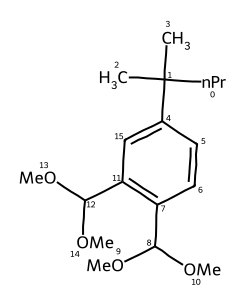 CCCC(C)(C)c1ccc(C(OC)OC)c(C(OC)OC)c1